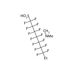 CCC(F)(F)C(F)(F)C(F)(F)C(F)(F)C(F)(F)C(F)(F)C(F)(F)S(=O)(=O)O.CNC